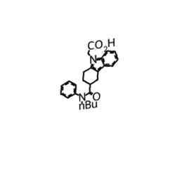 CCCCN(C(=O)C1CCc2c(c3ccccc3n2CC(=O)O)C1)c1ccccc1